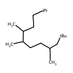 [CH2]C(CCC(C)CC(C)(C)C)C(C)CCC(C)C